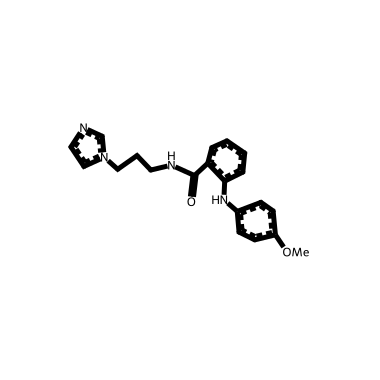 COc1ccc(Nc2ccccc2C(=O)NCCCn2ccnc2)cc1